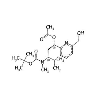 CC(=O)O[C@H](C[C@H](C(C)C)N(C)C(=O)OC(C)(C)C)c1cccc(CO)n1